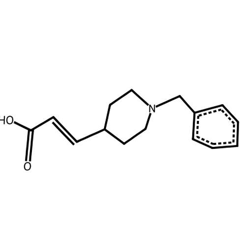 O=C(O)/C=C/C1CCN(Cc2ccccc2)CC1